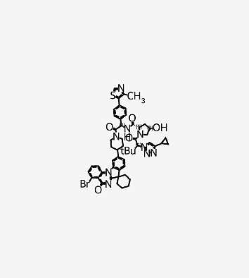 Cc1ncsc1-c1ccc([C@@H](NC(=O)[C@@H]2C[C@@H](O)CN2C(=O)[C@@H](n2cc(C3CC3)nn2)C(C)(C)C)C(=O)N2CCC(c3ccc4c(c3)-n3c(nc(=O)c5c(Br)cccc53)C43CCCCC3)CC2)cc1